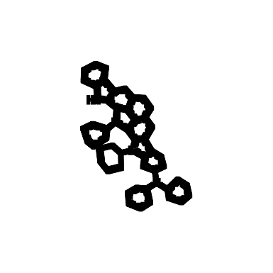 C1=CCC(n2c3cc(N(c4ccccc4)c4ccccc4)ccc3c3cc4ccc5cc6c7ccccc7[nH]c6c6c5c4c(c32)n6-c2ccccc2)C=C1